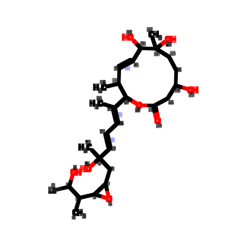 CCC(O)C(C)C1OC1CC(C)(O)/C=C/C=C(\C)C1OC(=O)CC(O)CCC(C)(O)C(O)/C=C/C1C